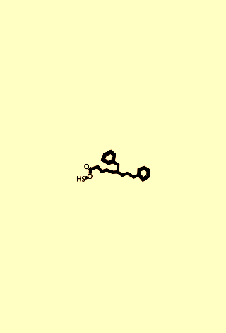 O=C(CCCCC(CCCc1ccccc1)Cc1ccccc1)OS